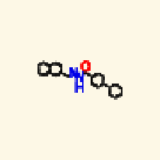 O=C(N/N=C/c1ccc2ccccc2c1)c1ccc(-c2ccccc2)cc1